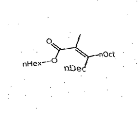 CCCCCCCCCCC(CCCCCCCC)=C(C)C(=O)OCCCCCC